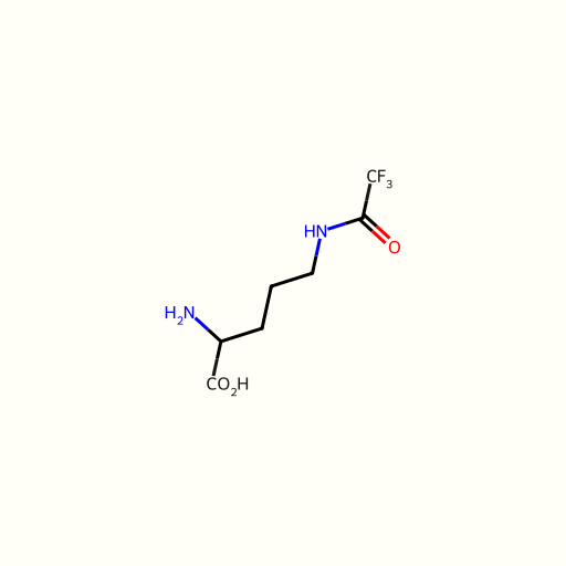 NC(CCCNC(=O)C(F)(F)F)C(=O)O